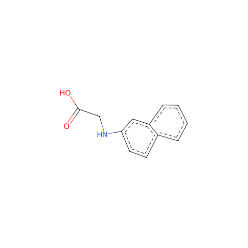 O=C(O)CNc1ccc2ccccc2c1